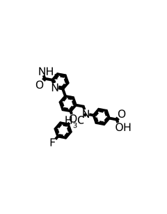 CN(Cc1cc(-c2cccc(C(N)=O)n2)ccc1Oc1ccc(F)cc1)c1ccc(C(=O)O)cc1